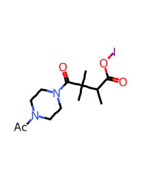 CC(=O)N1CCN(C(=O)C(C)(C)C(C)C(=O)OI)CC1